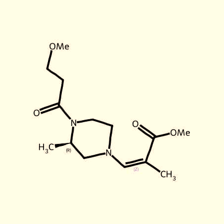 COCCC(=O)N1CCN(/C=C(/C)C(=O)OC)C[C@H]1C